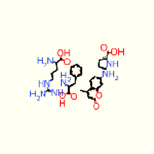 Cc1cc(=O)oc2cc(N)ccc12.N=C(N)NCCCC(N)C(=O)O.NC(Cc1ccccc1)C(=O)O.O=C(O)[C@@H]1CCCN1